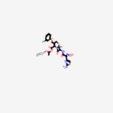 CCOC(=O)OC(C)OC(=O)C1=C(COc2cccc(F)c2)CS[C@H]2C(NC(=O)C(=NO)c3csc(N)n3)C(=O)N12